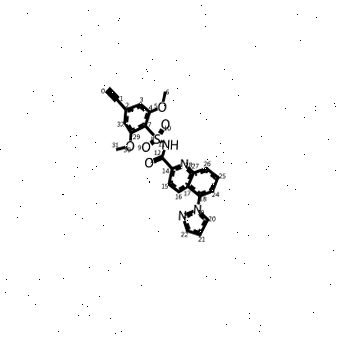 C#Cc1cc(OC)c(S(=O)(=O)NC(=O)c2ccc3c(-n4cccn4)cccc3n2)c(OC)c1